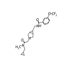 CN(CC1CC1)C(=O)CN1CC2C(CNC(=O)c3cccc(OC(F)(F)F)c3)C2C1